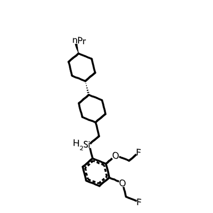 CCC[C@H]1CC[C@H](C2CCC(C[SiH2]c3cccc(OCF)c3OCF)CC2)CC1